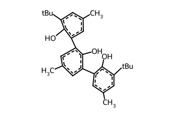 Cc1cc(-c2cc(C)cc(C(C)(C)C)c2O)c(O)c(-c2cc(C)cc(C(C)(C)C)c2O)c1